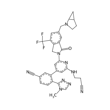 Cn1cnnc1-c1ccc(C#N)cc1-c1cc(NCCC#N)nc(N2Cc3c(cc(CN4CCC5CC54)cc3C(F)(F)F)C2=O)c1